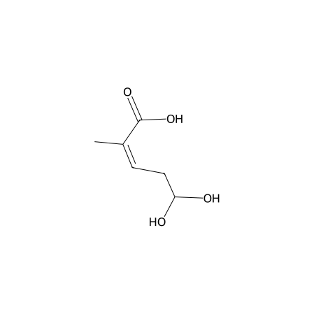 CC(=CCC(O)O)C(=O)O